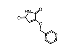 O=C1C=C(OCc2ccccc2)C(=O)N1